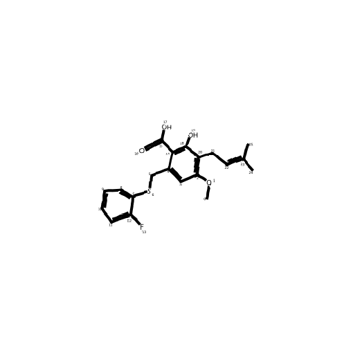 COc1cc(CSc2ccccc2F)c(C(=O)O)c(O)c1CC=C(C)C